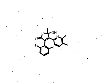 Cc1ccc(C2=C(c3c(F)cccc3F)C(=O)OC2(C)O)nc1C